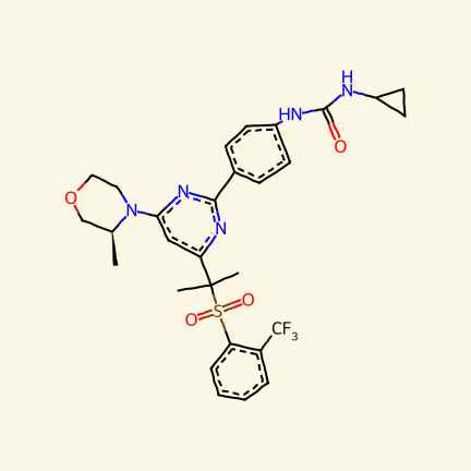 C[C@H]1COCCN1c1cc(C(C)(C)S(=O)(=O)c2ccccc2C(F)(F)F)nc(-c2ccc(NC(=O)NC3CC3)cc2)n1